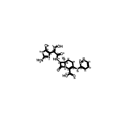 Nc1nc(/C(=N/O)C(=O)N[C@@H]2C(=O)N3C(C(=O)O)=C(Sc4cccnn4)CC[C@H]23)c(Cl)s1